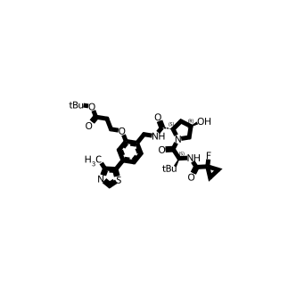 Cc1ncsc1-c1ccc(CNC(=O)[C@@H]2C[C@@H](O)CN2C(=O)[C@@H](NC(=O)C2(F)CC2)C(C)(C)C)c(OCCC(=O)OC(C)(C)C)c1